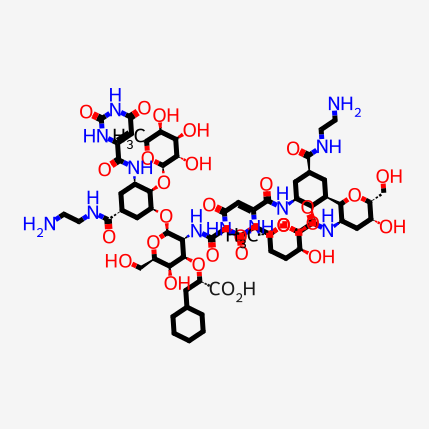 C[C@@H]1O[C@@H](O[C@@H]2[C@@H](NC(=O)c3cc(=O)[nH]c(=O)[nH]3)C[C@@H](C(=O)NCCN)C[C@H]2O[C@@H]2O[C@H](CO)[C@H](O)[C@H](O[C@@H](CC3CCCCC3)C(=O)O)[C@H]2NC(=O)COCCOCC(=O)N[C@@H]2C[C@@H](O)[C@@H](CO)OC2[C@@H]2C[C@H](C(=O)NCCN)C[C@H](NC(=O)c3cc(=O)[nH]c(=O)[nH]3)[C@H]2O[C@@H]2O[C@@H](C)CC[C@@H]2O)[C@@H](O)[C@H](O)[C@@H]1O